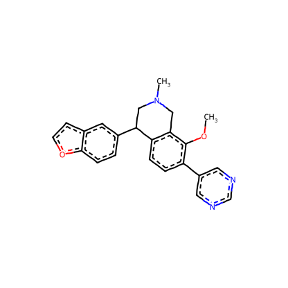 COc1c(-c2cncnc2)ccc2c1CN(C)CC2c1ccc2occc2c1